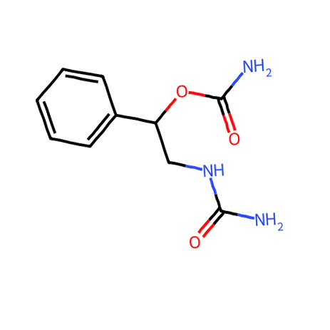 NC(=O)NCC(OC(N)=O)c1ccccc1